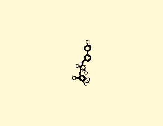 O=C1S/C(=C\C2C=CC=C(C3=CC=C(Cl)CC3)C2)C(=O)N1Cc1cc2c(cc1Cl)OCO2